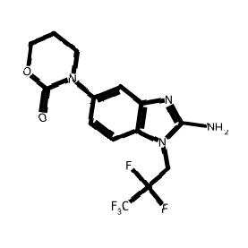 Nc1nc2cc(N3CCCOC3=O)ccc2n1CC(F)(F)C(F)(F)F